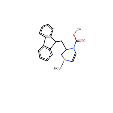 CC(C)(C)OC(=O)N1C=CN(C(=O)O)CC1CC1c2ccccc2-c2ccccc21